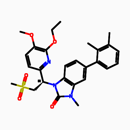 CCOc1nc([C@@H](CS(C)(=O)=O)n2c(=O)n(C)c3cc(-c4cccc(C)c4C)ccc32)ccc1OC